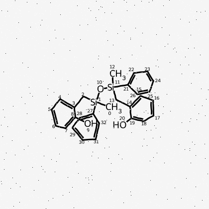 C[Si](Cc1ccccc1O)(O[Si](C)(Cc1ccccc1O)c1ccccc1)c1ccccc1